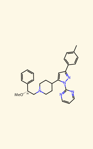 CO[C@@H](CN1CCC(c2cc(-c3ccc(C)cc3)nn2-c2ncccn2)CC1)c1ccccc1